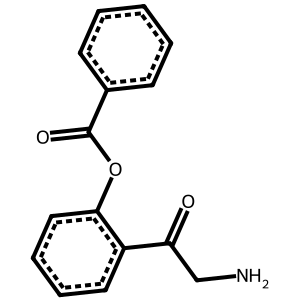 NCC(=O)c1ccccc1OC(=O)c1ccccc1